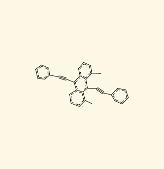 Cc1cccc2c(C#Cc3ccccc3)c3cccc(C)c3c(C#Cc3ccccc3)c12